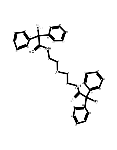 CC(C)C(C(=O)NCCOCCNC(=O)C(c1ccccc1)(c1ccccc1)C(C)(C)C)(c1ccccc1)c1ccccc1